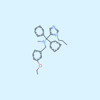 CCCn1cncc1C(c1ccccc1)(c1ccccc1)N(C)Cc1cccc(OCC)c1